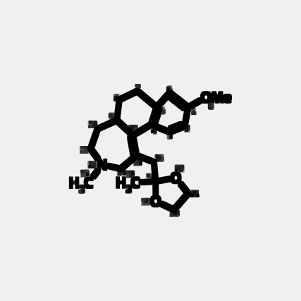 COc1ccc2c(c1)CCC1CCN(C)CC(CC3(C)OCCO3)=C21